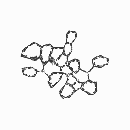 c1ccc(N(c2ccccc2)c2cccc3c4cccc5c6nc7c(cc6n(c23)c45)c2cc3ccccc3c3c4cc5ccccc5c(N(c5ccccc5)c5ccccc5)c4n7c23)cc1